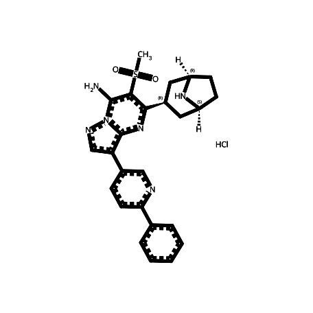 CS(=O)(=O)c1c([C@H]2C[C@H]3CC[C@@H](C2)N3)nc2c(-c3ccc(-c4ccccc4)nc3)cnn2c1N.Cl